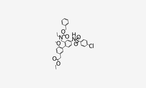 CCOC(=O)Cc1ccc(OC)c(-c2ccc(NS(=O)(=O)c3ccc(Cl)cc3)cc2CN(CC)C(=O)OCc2ccccc2)c1